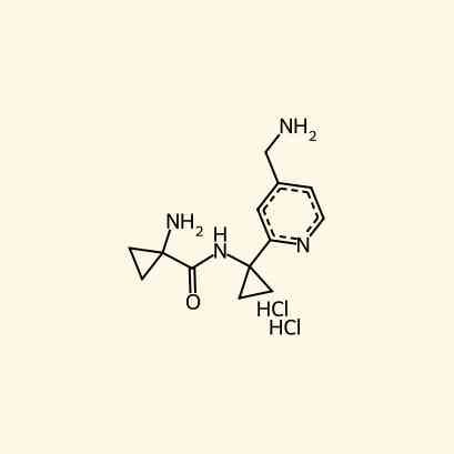 Cl.Cl.NCc1ccnc(C2(NC(=O)C3(N)CC3)CC2)c1